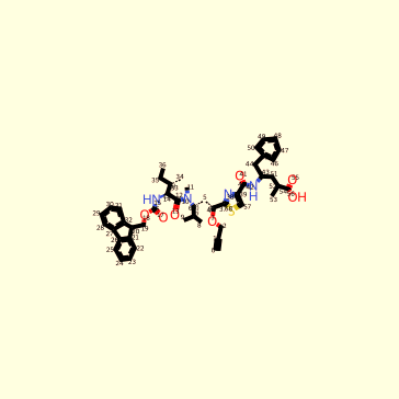 C#CCO[C@H](C[C@H](C(C)C)N(C)C(=O)[C@@H](NC(=O)OCC1c2ccccc2-c2ccccc21)[C@@H](C)CC)c1nc(C(=O)NC(Cc2ccccc2)CC(C)C(=O)O)cs1